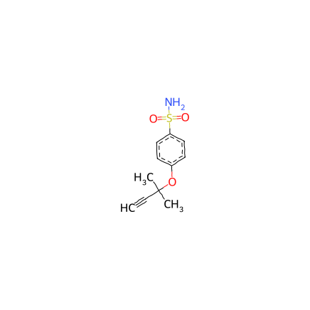 C#CC(C)(C)Oc1ccc(S(N)(=O)=O)cc1